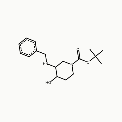 CC(C)(C)OC(=O)N1CCC(O)C(NCc2ccccc2)C1